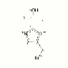 CC(C)(O)c1ncc(CBr)o1